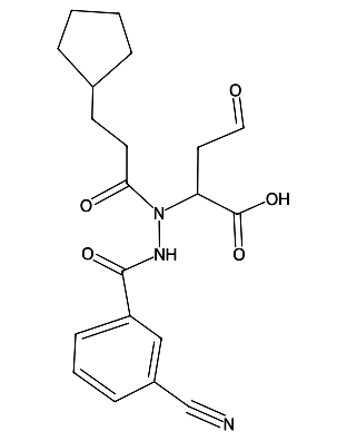 N#Cc1cccc(C(=O)NN(C(=O)CCC2CCCC2)C(CC=O)C(=O)O)c1